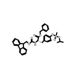 CC(C)OP(C)(=O)Oc1ccc(C[C@H](NC(=O)OCC2c3ccccc3-c3ccccc32)C(=O)OCc2ccccc2)cc1